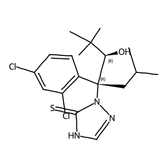 CC(C)C[C@@](c1ccc(Cl)cc1Cl)([C@H](O)C(C)(C)C)n1nc[nH]c1=S